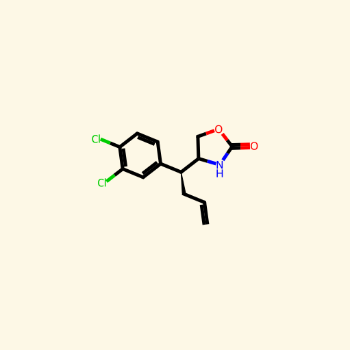 C=CC[C@@H](c1ccc(Cl)c(Cl)c1)C1COC(=O)N1